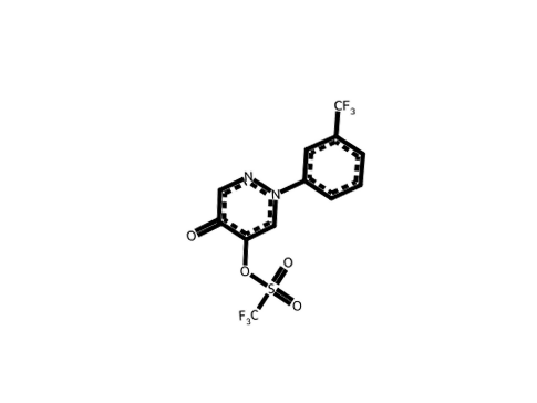 O=c1cnn(-c2cccc(C(F)(F)F)c2)cc1OS(=O)(=O)C(F)(F)F